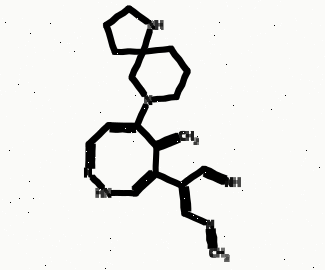 C=N/C=C(C=N)/C1=C/N/N=C\C=C(\N2CCCC3(CCCN3)C2)C1=C